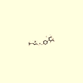 O=C(Cc1ccc(-c2c(F)c(F)nc(F)c2F)cc1)Nc1cc(C2CC2)[nH]n1